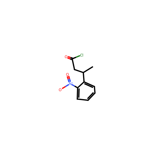 CC(CC(=O)Cl)c1ccccc1[N+](=O)[O-]